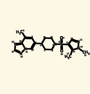 Cc1cc(C2CCN(S(=O)(=O)c3cnn(C)c3C)CC2)cn2ncnc12